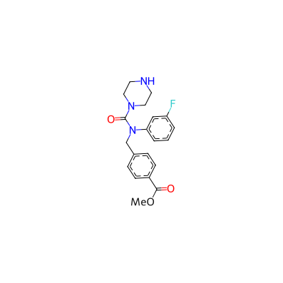 COC(=O)c1ccc(CN(C(=O)N2CCNCC2)c2cccc(F)c2)cc1